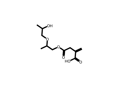 C=C(CC(=O)OCC(C)OCC(C)O)C(=O)O